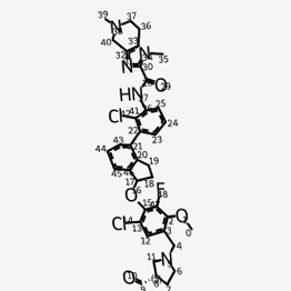 COc1c(CN2CC[C@H](C=O)C2)cc(Cl)c(OC2CCc3c(-c4cccc(NC(=O)c5nc6c(n5C)CCN(C)C6)c4Cl)cccc32)c1F